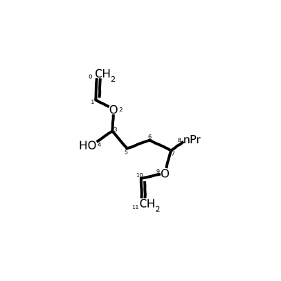 C=COC(O)CCC(CCC)OC=C